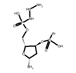 B[C@H]1C[C@H](OP(=O)(O)C(C)C)[C@@H](COP(=O)(O)NNN)O1